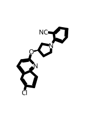 N#Cc1ccccc1N1CC[C@@H](Oc2ccc3cc(Cl)ccc3n2)C1